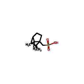 C=C1CC2CCC1(CS(=O)(=O)O)C2(C)C